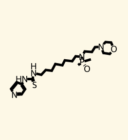 CP(C)(=O)N(CCCCCCCCNC(=S)Nc1ccncc1)CCCN1CCOCC1